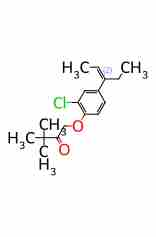 C/C=C(/CC)c1ccc(OCC(=O)C(C)(C)C)c(Cl)c1